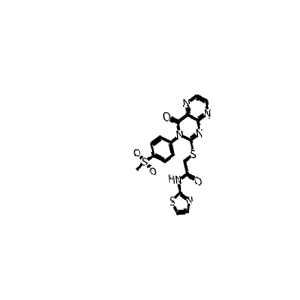 CS(=O)(=O)c1ccc(-n2c(SCC(=O)Nc3nccs3)nc3nccnc3c2=O)cc1